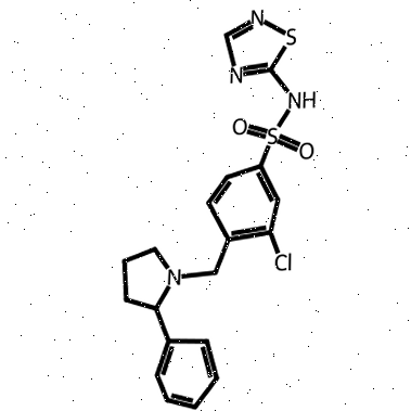 O=S(=O)(Nc1ncns1)c1ccc(CN2CCCC2c2ccccc2)c(Cl)c1